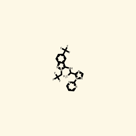 CC(Nc1c2cc(C(F)(F)F)ccc2nn1CC(F)(F)F)c1ncnn1-c1ncccn1